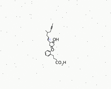 CC#CCC(C)C/C=C/C1C[C@@H](Oc2ccccc2CCCC(=O)O)C[C@H]1O